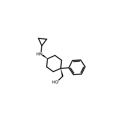 OC[C@]1(c2ccccc2)CC[C@H](NC2CC2)CC1